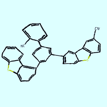 N#Cc1ccc2sc3ccc(-c4cc(-c5ccccc5C#N)cc(-c5cccc6sc7ccccc7c56)c4)cc3c2c1